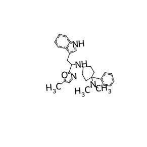 Cc1cnc(C(Cc2c[nH]c3ccccc23)NC2CCC(c3ccccc3)(N(C)C)CC2)o1